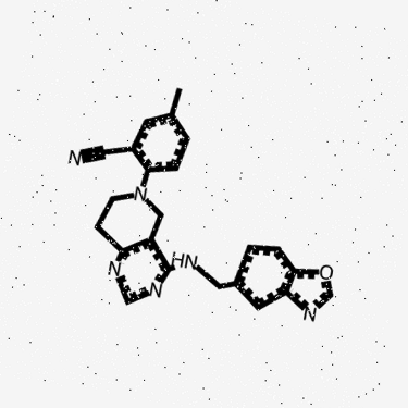 Cc1ccc(N2CCc3ncnc(NCc4ccc5ocnc5c4)c3C2)c(C#N)c1